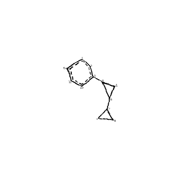 c1ccc(C2C[C]2C2CC2)cc1